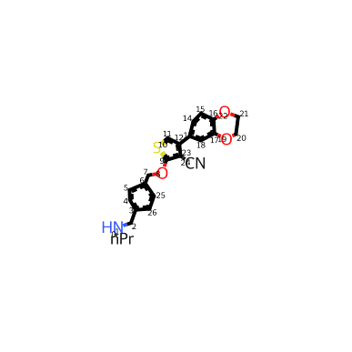 CCCNCc1ccc(COc2scc(-c3ccc4c(c3)OCCO4)c2C#N)cc1